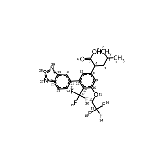 CC(C)CC(C(=O)O)c1cc(OCC(F)(F)F)c(C(F)(F)F)c(-c2ccc3nsnc3c2)c1